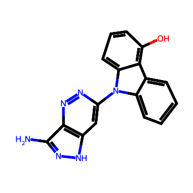 Nc1n[nH]c2cc(-n3c4ccccc4c4c(O)cccc43)nnc12